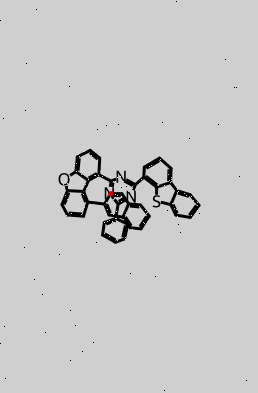 c1ccc(-c2nc(-c3cccc4c3sc3ccccc34)nc(-c3cccc4oc5cccc(-c6ccc7ccccc7c6)c5c34)n2)cc1